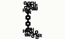 CCNC(=O)C(=O)N[C@H](c1nc(-c2ccc(-c3ccc(-c4c[nH]c([C@@H](N5C(=O)C(=O)OC5(C)C)C(C)(C)C)n4)cc3)cc2)c[nH]1)C(C)(C)C